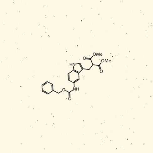 COC(=O)C(Cc1c[nH]c2ccc(NC(=O)OCc3ccccc3)cc12)C(=O)OC